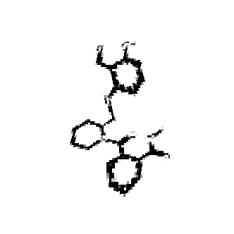 O=Cc1c(O)cccc1OC[C@@H]1CCCCN1C(=O)c1ccccc1C(=O)OI